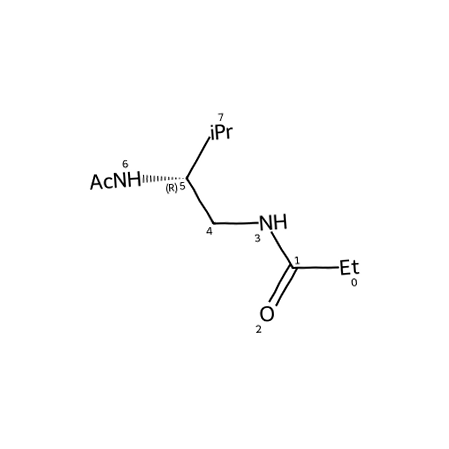 CCC(=O)NC[C@H](NC(C)=O)C(C)C